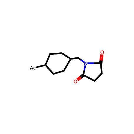 CC(=O)C1CCC(CN2C(=O)CCC2=O)CC1